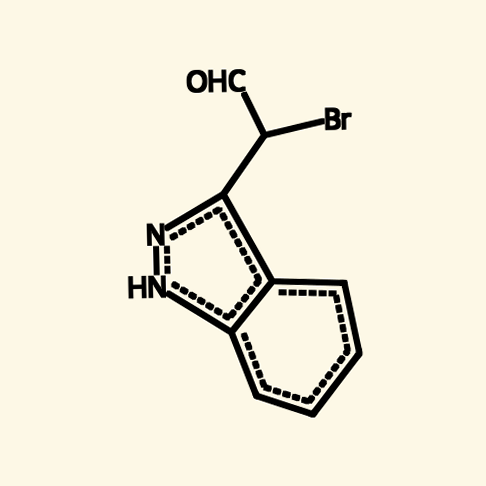 O=CC(Br)c1n[nH]c2ccccc12